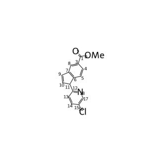 COC(=O)c1ccc2c(c1)C=CC2c1ccc(Cl)cn1